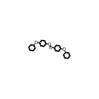 c1ccc(Oc2ccc(OOc3ccc(Oc4ccccc4)cc3)cc2)cc1